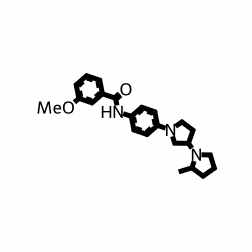 COc1cccc(C(=O)Nc2ccc(N3CCC(N4CCCC4C)C3)cc2)c1